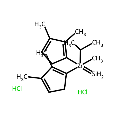 CC1=CC[C]([Zr]([CH3])(=[SiH2])([C]2=C(C)C(C)=CC2)[CH](C)C)=C1C.Cl.Cl